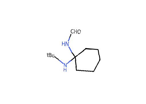 CC(C)(C)NC1(NC=O)CCCCC1